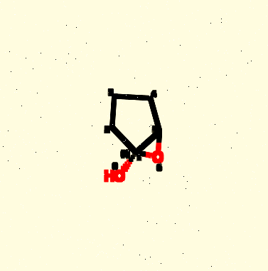 O[C@]12CCCC1O2